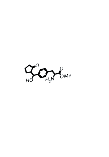 COC(=O)C(N)Cc1ccc(C(O)C2CCCC2=O)cc1